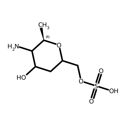 C[C@H]1OC(COS(=O)(=O)O)CC(O)C1N